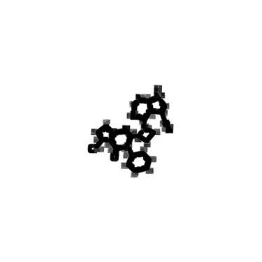 N#Cc1c[nH]c2ncnc(N3CC[C@H]3c3nn4ccc(Cl)c4c(=O)n3-c3ccccc3)c12